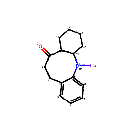 O=C1CCc2ccccc2N(I)C2CCCCC12